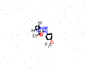 CCC(=O)N1C[C@H]2C[C@@H]1[C@H]2NC(=O)Nc1ccc(OC(F)(F)F)cc1